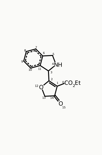 CCOC(=O)C1=C(C2NCc3ccccc32)OCC1=O